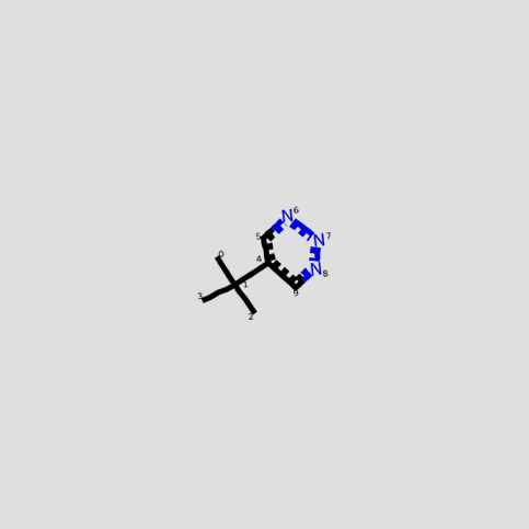 CC(C)(C)c1cnnnc1